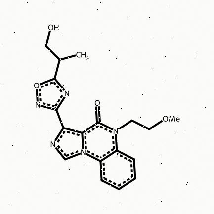 COCCn1c(=O)c2c(-c3noc(C(C)CO)n3)ncn2c2ccccc21